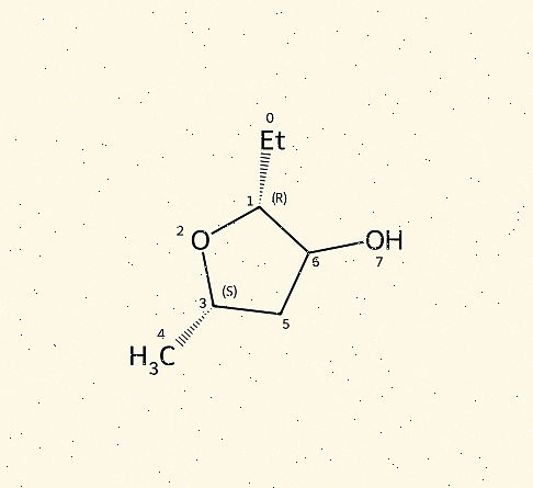 CC[C@H]1O[C@@H](C)CC1O